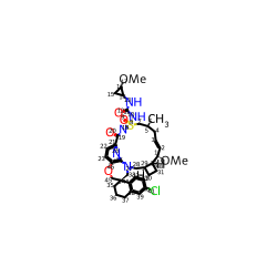 CO[C@H]1/C=C/C[C@H](C)C[S@@](=O)(NC(=O)N[C@H]2C[C@@H]2OC)=NC(=O)c2ccc3c(n2)N(C[C@@H]2CC[C@H]21)C[C@@]1(CCCc2cc(Cl)ccc21)CO3